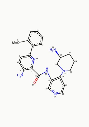 COc1ccccc1-c1ccc(N)c(C(=O)Nc2cnccc2N2CCC[C@H](N)C2)n1